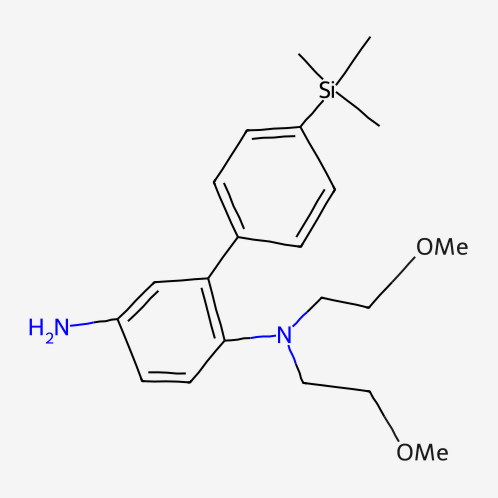 COCCN(CCOC)c1ccc(N)cc1-c1ccc([Si](C)(C)C)cc1